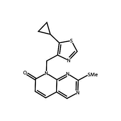 CSc1ncc2ccc(=O)n(Cc3ncsc3C3CC3)c2n1